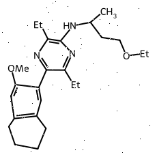 CCOCCC(C)Nc1nc(CC)c(-c2cc3c(cc2OC)CCCC3)nc1CC